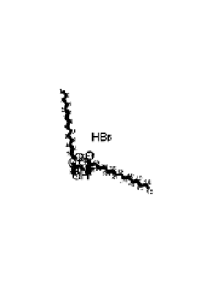 Br.CCCCCCCCCCCCCCCC(=O)OC(CO)C(NC(C)(C)C)OC(=O)CCCCCCCCCCCCCCC